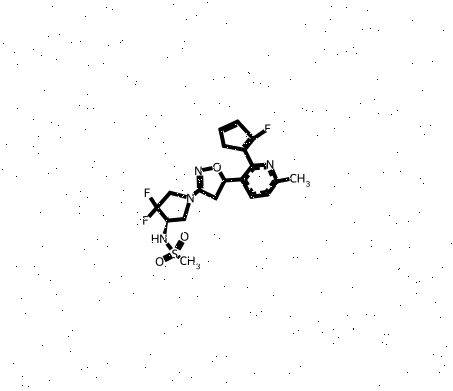 Cc1ccc(C2CC(N3C[C@@H](NS(C)(=O)=O)C(F)(F)C3)=NO2)c(C2=C(F)C=CC2)n1